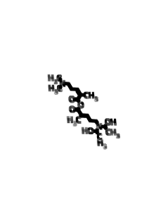 CC(=CCCN(C)C)C(=O)OC(=O)C(C)=CCCN(C(C)O)C(C)O